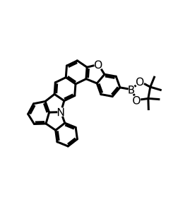 CC1(C)OB(c2ccc3c(c2)oc2ccc4cc5c6cccc7c8ccccc8n(c5cc4c23)c76)OC1(C)C